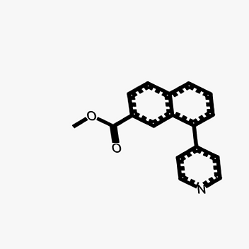 COC(=O)c1ccc2cccc(-c3ccncc3)c2c1